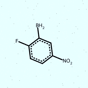 Bc1cc([N+](=O)[O-])ccc1F